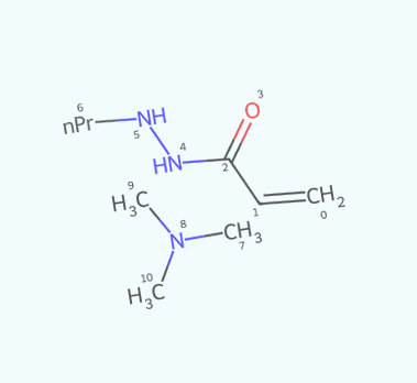 C=CC(=O)NNCCC.CN(C)C